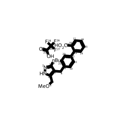 CCCCc1n[nH]c(COC)c1Cc1ccc(-c2ccccc2C(=O)O)cc1.O=C(O)C(F)(F)F